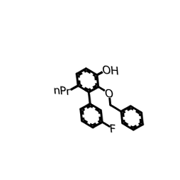 CCCc1ccc(O)c(OCc2ccccc2)c1-c1cccc(F)c1